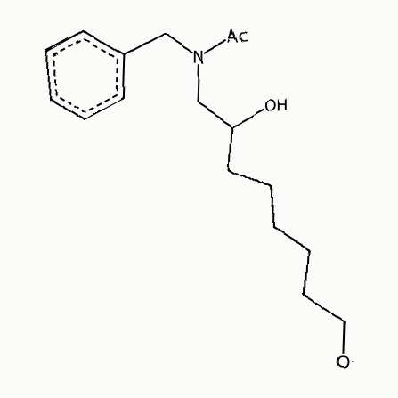 CC(=O)N(Cc1ccccc1)CC(O)CCCCCC[O]